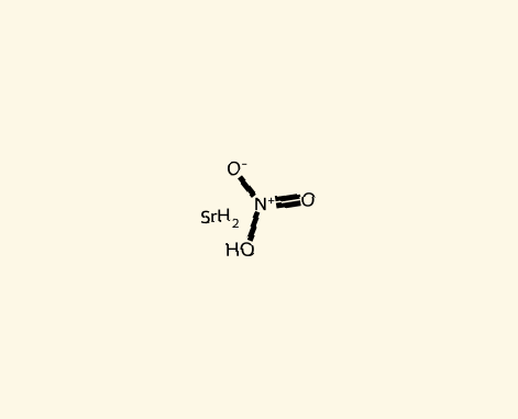 O=[N+]([O-])O.[SrH2]